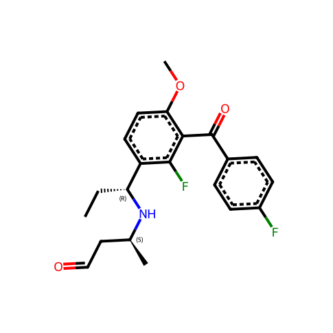 CC[C@@H](N[C@@H](C)CC=O)c1ccc(OC)c(C(=O)c2ccc(F)cc2)c1F